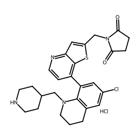 Cl.O=C1CCC(=O)N1Cc1cc2nccc(-c3cc(Cl)cc4c3N(CC3CCNCC3)CCC4)c2s1